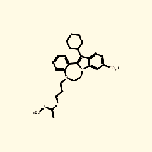 CCCCOC(C)OCCCN1CCn2c(c(C3CCCCC3)c3ccc(C(=O)O)cc32)-c2ccccc21